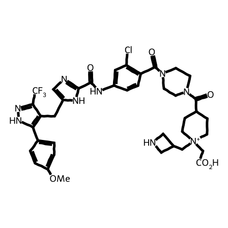 COc1ccc(-c2[nH]nc(C(F)(F)F)c2Cc2cnc(C(=O)Nc3ccc(C(=O)N4CCN(C(=O)C5CC[N+](CC(=O)O)(CC6CNC6)CC5)CC4)c(Cl)c3)[nH]2)cc1